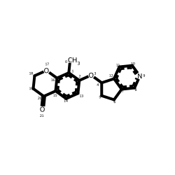 Cc1c(OC2CCc3cnccc32)ccc2c1OCCC2=O